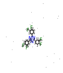 Fc1ccc(-c2nc(-c3ccc(F)c(F)c3)nc(-c3ccc(F)c(F)c3)n2)cc1F